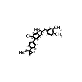 Cc1ccc(Cc2cc3cc(-c4ccc(C5(CO)CC5)cc4)c(Cl)cc3[nH]2)cc1C